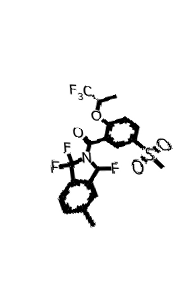 Cc1ccc2c(c1)C(F)N(C(=O)c1cc(S(C)(=O)=O)ccc1O[C@@H](C)C(F)(F)F)C2(F)F